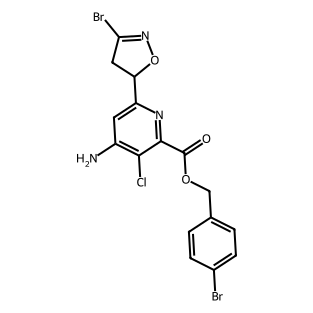 Nc1cc(C2CC(Br)=NO2)nc(C(=O)OCc2ccc(Br)cc2)c1Cl